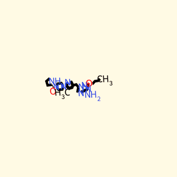 CCCCOc1nc(N)c2ncc(Cc3cnc(N4CCN(C(=O)[C@@H]5CCCN5)CC4)c(C)c3)n2n1